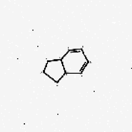 [C]1CC2C=CC=CC2C1